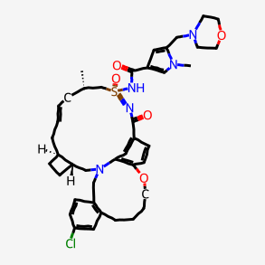 C[C@H]1C/C=C/C[C@@H]2CC[C@H]2CN2Cc3ccc(Cl)cc3CCCCOc3ccc(cc32)C(=O)N=S(=O)(NC(=O)c2cc(CN3CCOCC3)n(C)c2)C1